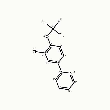 FC(F)(F)Oc1ccc(-c2c[c]ccn2)cc1Cl